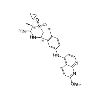 COc1cnc2c(Nc3ccc(F)c([C@]4(C)CS(=O)(=O)[C@@](C)(C5CC5)C(=N)N4)c3)ccnc2n1